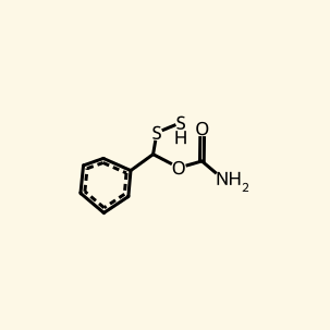 NC(=O)OC(SS)c1ccccc1